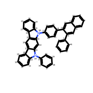 c1ccc(-c2cc3ccccc3cc2-c2ccc(-n3c4ccccc4c4cc5c6ccccc6n(-c6ccccc6)c5cc43)cc2)cc1